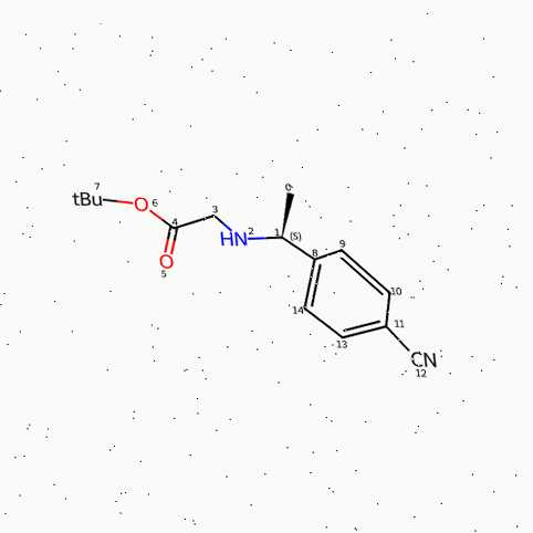 C[C@H](NCC(=O)OC(C)(C)C)c1ccc(C#N)cc1